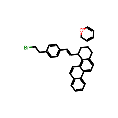 BrCCc1ccc(C=CC2CCCc3ccc4c(ccc5ccccc54)c32)cc1.C1=CCOC=C1